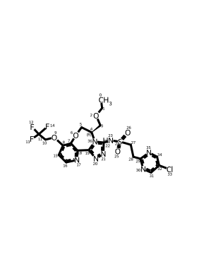 CCOC[C@@H]1COc2c(OCC(F)(F)F)ccnc2-c2nnc(NS(=O)(=O)CCc3ncc(Cl)cn3)n21